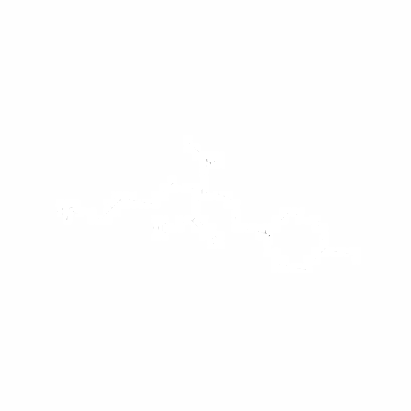 BCCCCC(CCN1CCC(C)CC1)(NC)C(=O)O